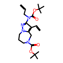 C=CCN(C(=O)OC(C)(C)C)c1nn2c(c1C=C)CN(C(=O)OC(C)(C)C)CCC2